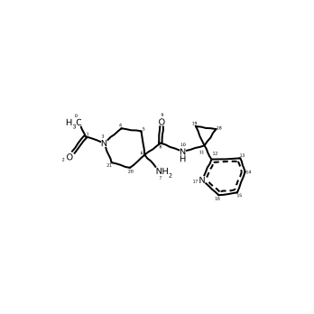 CC(=O)N1CCC(N)(C(=O)NC2(c3ccccn3)CC2)CC1